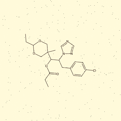 CCC(=O)OC(C(Cc1ccc(Cl)cc1)n1cncn1)C1(C)COC(CC)OC1